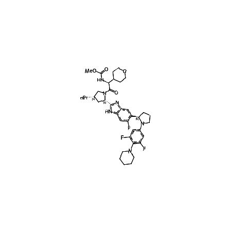 CCC[C@H]1C[C@@H](c2nc3cc([C@H]4CCCN4c4cc(F)c(N5CCCCC5)c(F)c4)c(F)cc3[nH]2)N(C(=O)C(NC(=O)OC)C2CCOCC2)C1